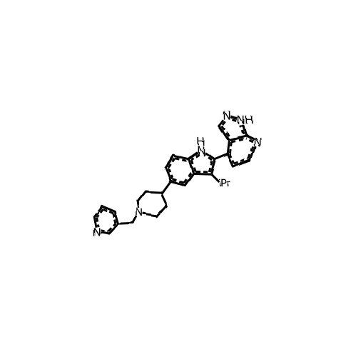 CC(C)c1c(-c2ccnc3[nH]ncc23)[nH]c2ccc(C3CCN(Cc4cccnc4)CC3)cc12